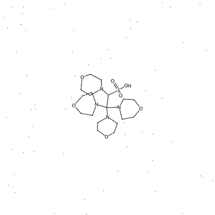 O=S(=O)(O)C(N1CCOCC1)C(N1CCOCC1)(N1CCOCC1)N1CCOCC1